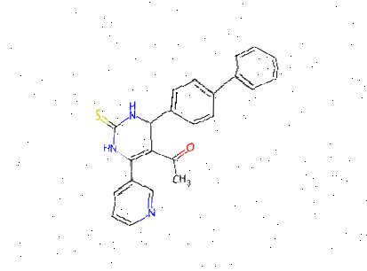 CC(=O)C1=C(c2cccnc2)NC(=S)NC1c1ccc(-c2ccccc2)cc1